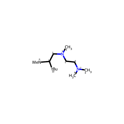 CNC(CN(C)CCN(C)C)C(C)(C)C